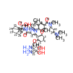 COc1cccc(OC)c1-c1cc(C(=O)NC2(C(=O)O)C3CC4CC(C3)CC2C4)nn1-c1ccc(C(=O)N(C)CCCN(C)C)cc1C(C)C.NCCO.NCCO